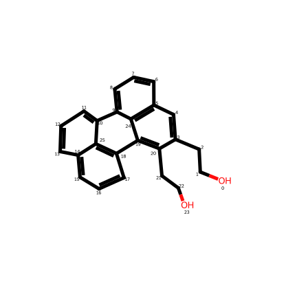 OCCc1cc2cccc3c4cccc5cccc(c(c1CCO)c23)c54